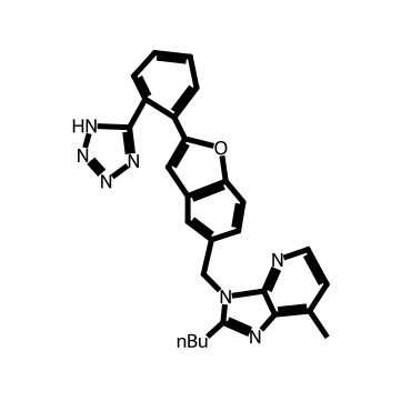 CCCCc1nc2c(C)ccnc2n1Cc1ccc2oc(-c3ccccc3-c3nnn[nH]3)cc2c1